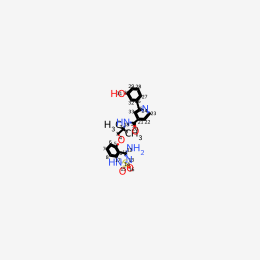 CC(C)(COc1cccc2c1C(N)=NS(=O)(=O)N2)NC(=O)c1ccnc(-c2cccc(O)c2)c1